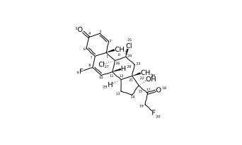 C[C@]12C=CC(=O)C=C1C(F)=C[C@H]1[C@@H]3CC[C@](O)(C(=O)CF)[C@@]3(C)C[C@H](Cl)[C@@]12Cl